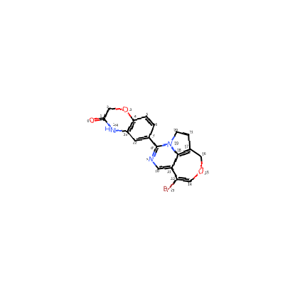 O=C1COc2ccc(C3=NC=C4C(Br)=COCC5=C4N3CC5)cc2N1